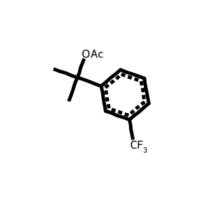 CC(=O)OC(C)(C)c1cccc(C(F)(F)F)c1